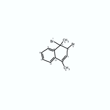 CC1=CC(Br)C(C)(Br)c2ccccc21